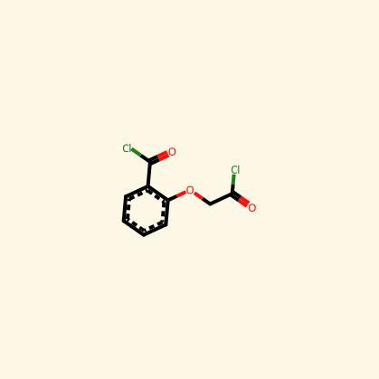 O=C(Cl)COc1ccccc1C(=O)Cl